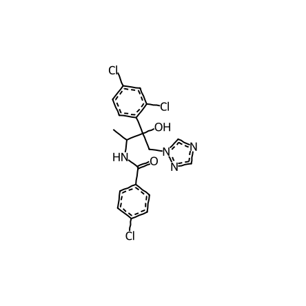 CC(NC(=O)c1ccc(Cl)cc1)C(O)(Cn1cncn1)c1ccc(Cl)cc1Cl